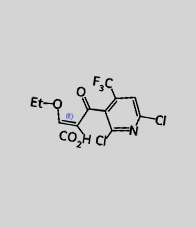 CCO/C=C(/C(=O)O)C(=O)c1c(C(F)(F)F)cc(Cl)nc1Cl